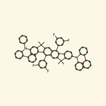 CC1(C)c2cc(N(c3ccccc3)c3ccccc3-c3ccccc3)ccc2-c2c1cc1c(-c3cc(F)cc(F)c3)c3c(cc1c2-c1cc(F)cc(F)c1)C(C)(C)c1cc(N(c2ccccc2)c2ccccc2-c2ccccc2)ccc1-3